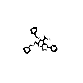 CO[C@H]1OC(COCc2ccccc2)[C@H](OCc2ccccc2)C(C(N)=O)C1OCc1ccccc1